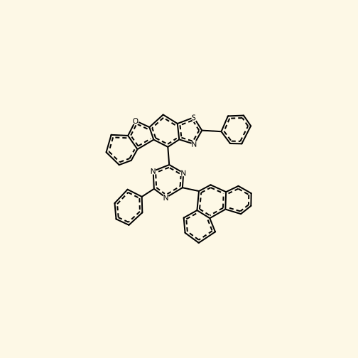 c1ccc(-c2nc(-c3cc4ccccc4c4ccccc34)nc(-c3c4nc(-c5ccccc5)sc4cc4oc5ccccc5c34)n2)cc1